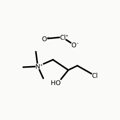 C[N+](C)(C)CC(O)CCl.[O-][Cl+][O-]